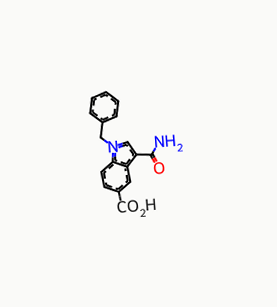 NC(=O)c1cn(Cc2ccccc2)c2ccc(C(=O)O)cc12